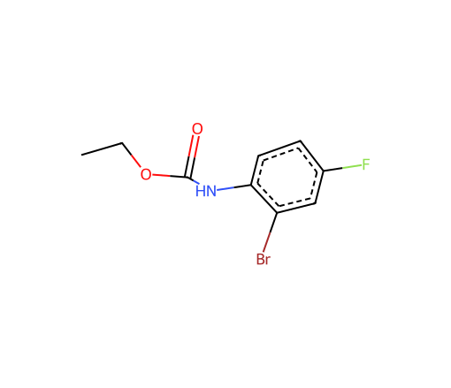 CCOC(=O)Nc1ccc(F)cc1Br